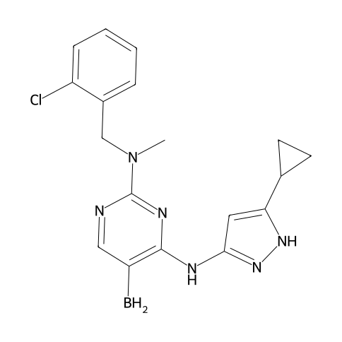 Bc1cnc(N(C)Cc2ccccc2Cl)nc1Nc1cc(C2CC2)[nH]n1